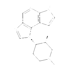 CCN1CC[C@@H](n2cnc3cnc4[nH]ccc4c32)[C@@H](F)C1